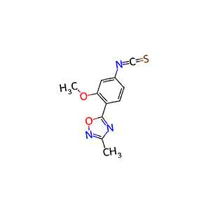 COc1cc(N=C=S)ccc1-c1nc(C)no1